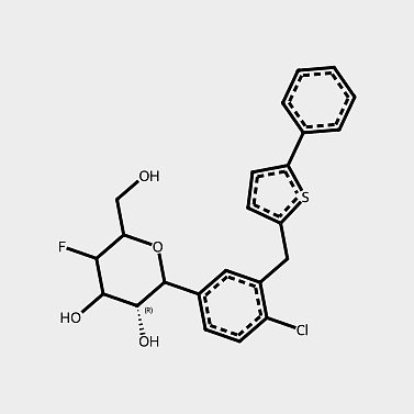 OCC1OC(c2ccc(Cl)c(Cc3ccc(-c4ccccc4)s3)c2)[C@H](O)C(O)C1F